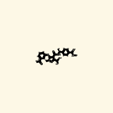 COC(=O)c1ccc([C@H](C)NC(=O)c2c(C(F)F)nn(C)c2Oc2cccc(C(C)=O)c2)cc1